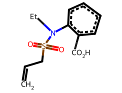 C=CCS(=O)(=O)N(CC)c1ccccc1C(=O)O